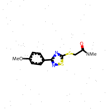 CNC(=O)CSc1nc(-c2ccc(OC)cc2)ns1